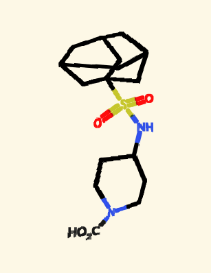 O=C(O)N1CCC(NS(=O)(=O)C23CC4CC(CC(C4)C2)C3)CC1